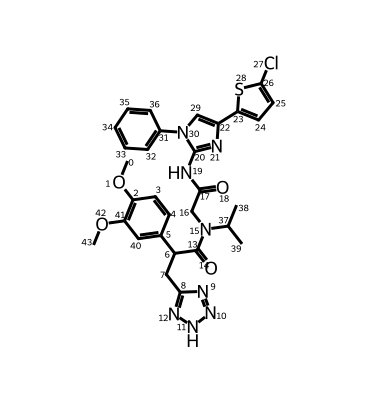 COc1ccc(C(Cc2nn[nH]n2)C(=O)N(CC(=O)Nc2nc(-c3ccc(Cl)s3)cn2-c2ccccc2)C(C)C)cc1OC